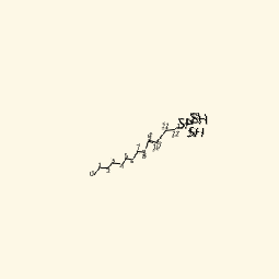 CCCCCCCCCCCCCSP(S)S